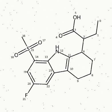 CCC(C(=O)O)C1CCCc2c1[nH]c1c(S(C)(=O)=O)cc(F)cc21